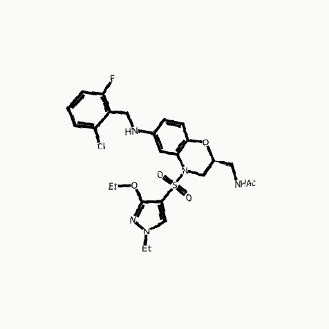 CCOc1nn(CC)cc1S(=O)(=O)N1C[C@H](CNC(C)=O)Oc2ccc(NCc3c(F)cccc3Cl)cc21